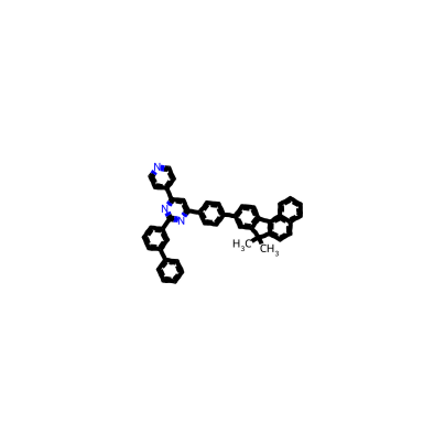 CC1(C)c2cc(-c3ccc(-c4cc(-c5ccncc5)nc(-c5cccc(-c6ccccc6)c5)n4)cc3)ccc2-c2c1ccc1ccccc21